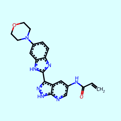 C=CC(=O)Nc1cnc2[nH]nc(-c3nc4ccc(N5CCOCC5)cc4[nH]3)c2c1